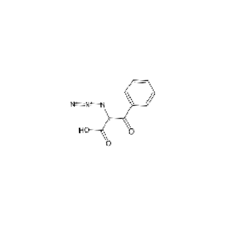 [N-]=[N+]=N[C](C(=O)O)C(=O)c1ccccc1